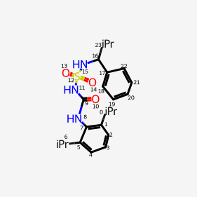 CC(C)c1cccc(C(C)C)c1NC(=O)NS(=O)(=O)NC(c1ccccc1)C(C)C